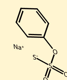 O=S(=O)([S-])Oc1ccccc1.[Na+]